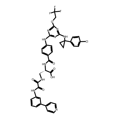 O=C(NC[C@H](NC(=O)c1ccc(Nc2nc(NC3(c4ccc(Cl)cc4)CC3)nc(OCC(F)(F)F)n2)cc1)C(=O)O)C(=O)Nc1cccc(-c2ccncc2)c1